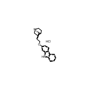 C(COc1ccc2c(c1)[nH]c1ccccc12)=C1CN2CCC1CC2.Cl